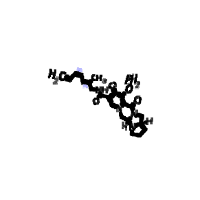 C=C/C=C\C=C(/C)CNC(=O)c1cn2c(c(OP)c1=O)C(=O)N1C[C@@H]3CCCN3[C@H]1C2